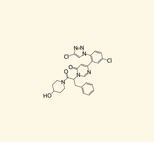 O=C(C(Cc1ccccc1)n1cnc(-c2cc(Cl)ccc2-n2cc(Cl)nn2)cc1=O)N1CCC(O)CC1